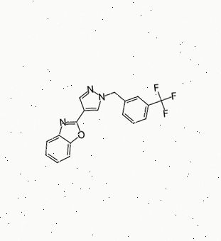 FC(F)(F)c1cccc(Cn2cc(-c3nc4ccccc4o3)cn2)c1